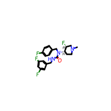 CN1CC[C@H](N(Cc2ccc(F)cc2)C(=O)NCc2cc(F)cc(F)c2)[C@H](F)C1